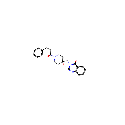 C[C@H](CC(=O)N1CCC(O)(Cn2cnc3ccccc3c2=O)CC1)c1ccccc1